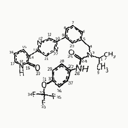 CC(C)N(Cc1cccc(-c2cnc(-c3ccc[nH]c3=O)cn2)c1)C(=O)Nc1ccc(OC(F)(F)F)cc1